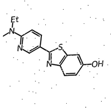 CCN(C)c1ccc(-c2nc3ccc(O)cc3s2)cn1